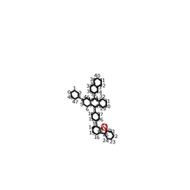 c1ccc(-c2ccc3c(-c4ccc(-c5cccc6c5oc5ccccc56)cc4)c4ccccc4c(-c4ccc5ccccc5c4)c3c2)cc1